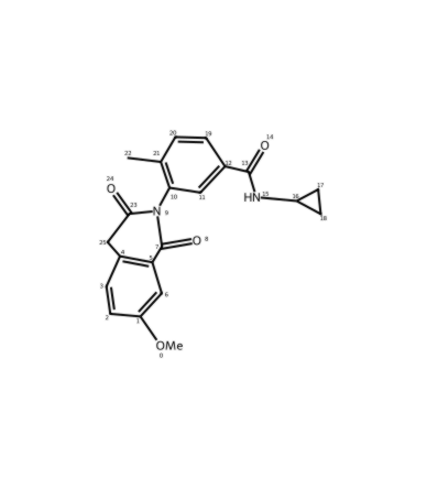 COc1ccc2c(c1)C(=O)N(c1cc(C(=O)NC3CC3)ccc1C)C(=O)C2